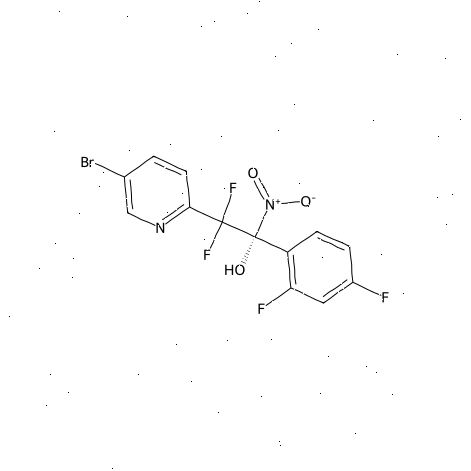 O=[N+]([O-])[C@@](O)(c1ccc(F)cc1F)C(F)(F)c1ccc(Br)cn1